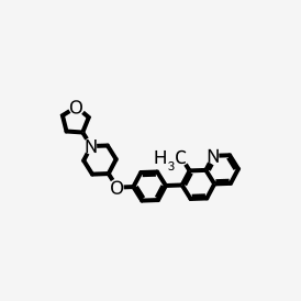 Cc1c(-c2ccc(OC3CCN(C4CCOC4)CC3)cc2)ccc2cccnc12